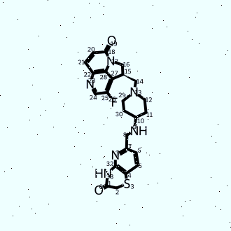 O=C1CSc2ccc(CNC3CCN(C[C@@H]4Cn5c(=O)ccc6ncc(F)c4c65)CC3)nc2N1